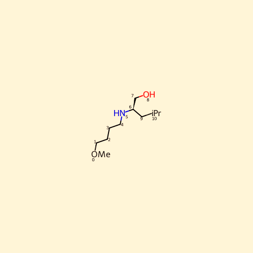 COCCCCN[C@@H](CO)CC(C)C